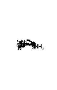 CCCCC=C(C)C(C)(CCCCCOc1ccc([N+](=O)[O-])c2n[se]nc12)C(N)=O